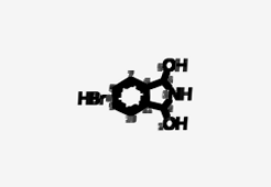 Br.OC1NC(O)c2ccccc21